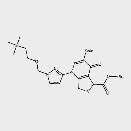 CSc1cn(-c2ccn(COCC[Si](C)(C)C)n2)c2c(c1=O)C(C(=O)OC(C)(C)C)SC2